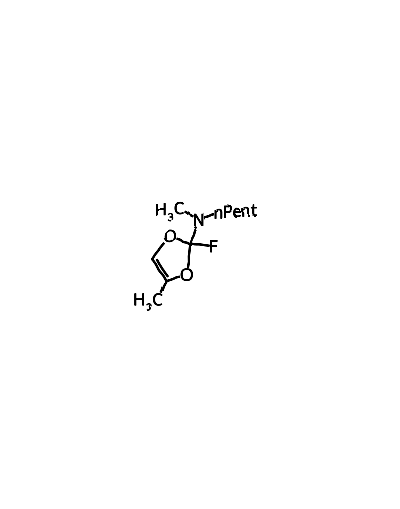 CCCCCN(C)C1(F)OC=C(C)O1